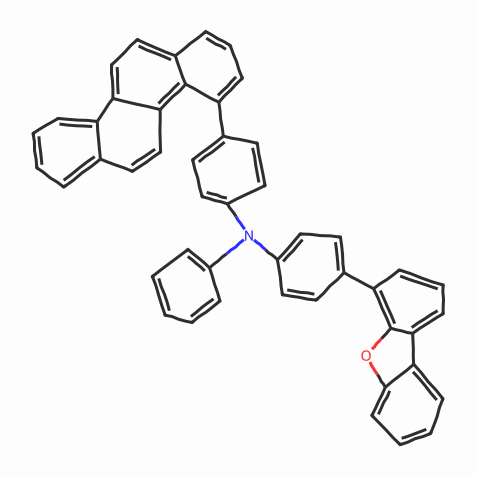 c1ccc(N(c2ccc(-c3cccc4c3oc3ccccc34)cc2)c2ccc(-c3cccc4ccc5c6ccccc6ccc5c34)cc2)cc1